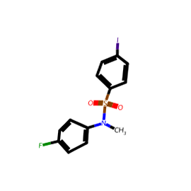 CN(c1ccc(F)cc1)S(=O)(=O)c1ccc(I)cc1